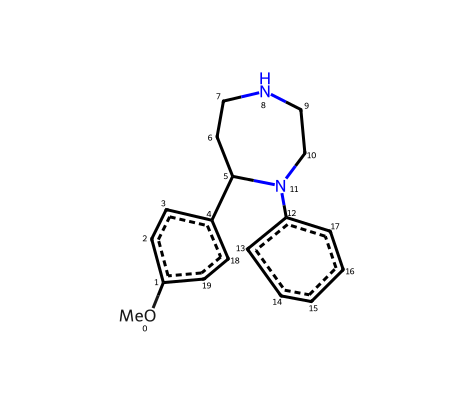 COc1ccc(C2CCNCCN2c2ccccc2)cc1